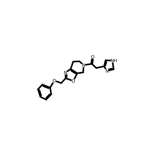 O=C(Cc1c[nH]cn1)N1CCc2nc(COc3ccccc3)oc2C1